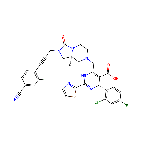 N#Cc1ccc(C#CCN2C[C@@H]3CN(CC4=C(C(=O)O)[C@H](c5ccc(F)cc5Cl)N=C(c5nccs5)N4)CCN3C2=O)c(F)c1